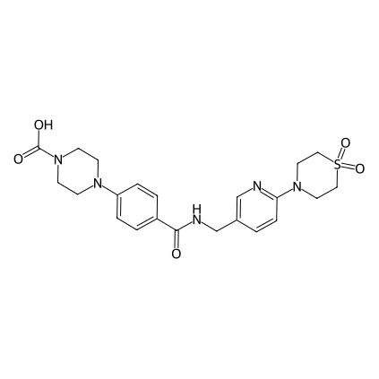 O=C(NCc1ccc(N2CCS(=O)(=O)CC2)nc1)c1ccc(N2CCN(C(=O)O)CC2)cc1